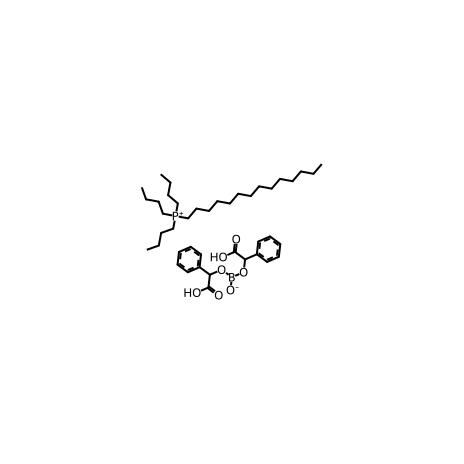 CCCCCCCCCCCCCC[P+](CCCC)(CCCC)CCCC.O=C(O)C(OB([O-])OC(C(=O)O)c1ccccc1)c1ccccc1